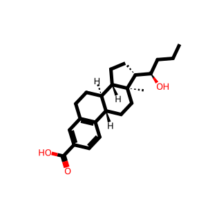 CCC[C@@H](O)[C@H]1CC[C@H]2[C@@H]3CCc4cc(C(=O)O)ccc4[C@H]3CC[C@]12C